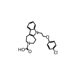 O=C(O)N1CCc2c(n(CCOc3ccc(Cl)cc3)c3ccccc23)CC1